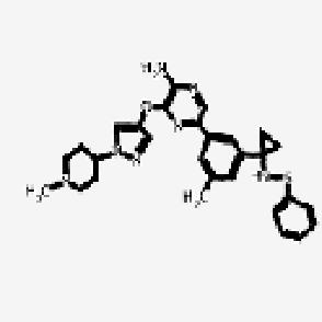 Cc1cc(-c2cnc(N)c(Oc3cnn(C4CCN(C)CC4)c3)n2)cc(C2(NSc3ccccc3)CC2)c1